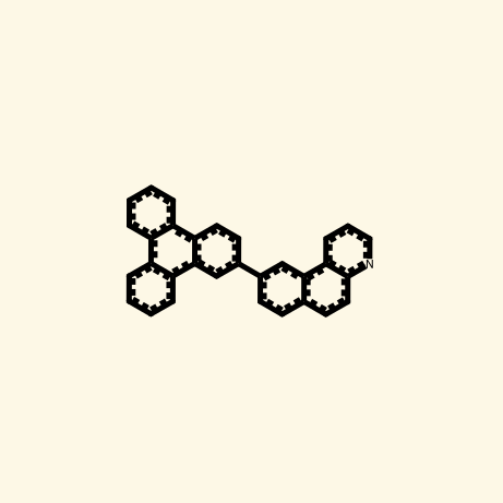 c1cnc2ccc3ccc(-c4ccc5c6ccccc6c6ccccc6c5c4)cc3c2c1